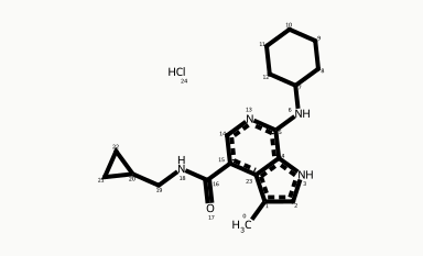 Cc1c[nH]c2c(NC3CCCCC3)ncc(C(=O)NCC3CC3)c12.Cl